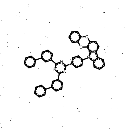 c1ccc(-c2cccc(-c3nc(-c4ccc(-n5c6ccccc6c6ccc7c(c65)Oc5ccccc5O7)cc4)nc(-c4cccc(-c5ccccc5)c4)n3)c2)cc1